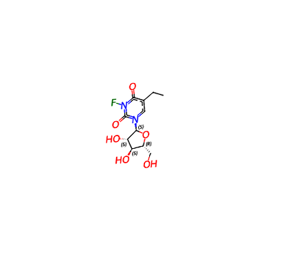 CCc1cn([C@H]2O[C@H](CO)[C@@H](O)[C@@H]2O)c(=O)n(F)c1=O